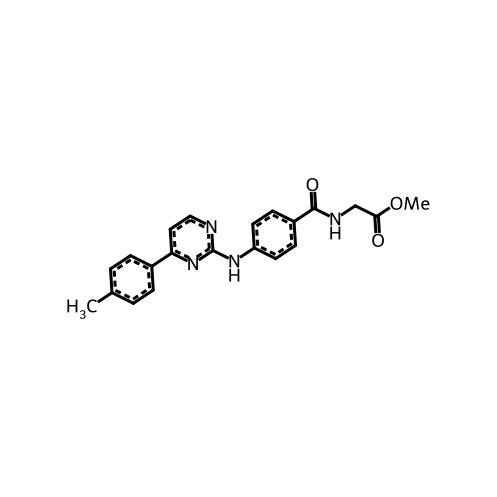 COC(=O)CNC(=O)c1ccc(Nc2nccc(-c3ccc(C)cc3)n2)cc1